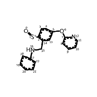 O=[S+]c1ccc(Oc2ccccn2)cc1CNc1ccccc1